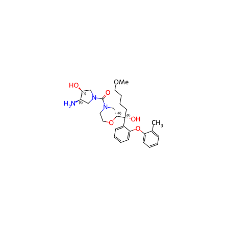 COCCCC[C@@](O)(c1ccccc1Oc1ccccc1C)[C@H]1CN(C(=O)N2C[C@@H](N)[C@@H](O)C2)CCO1